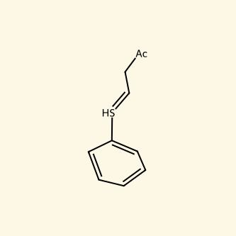 CC(=O)CC=[SH]c1ccccc1